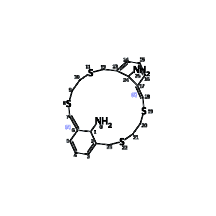 NC1C2=CC=C/C1=C/SCCSCC1=CC=C/C(=C/SCCSC2)C1N